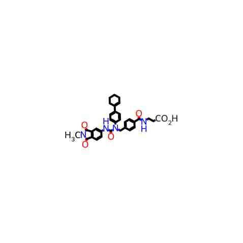 CN1C(=O)c2ccc(NC(=O)N(Cc3ccc(C(=O)NCCC(=O)O)cc3)c3ccc(C4=CCCCC4)cc3)cc2C1=O